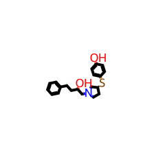 Oc1ccc(S[C@H]2CCN(CC(O)CCc3ccccc3)C2)cc1